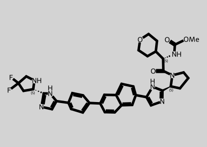 COC(=O)N[C@H](C(=O)N1CCC[C@H]1c1ncc(-c2ccc3cc(-c4ccc(-c5cnc([C@@H]6CC(F)(F)CN6)[nH]5)cc4)ccc3c2)[nH]1)C1CCOCC1